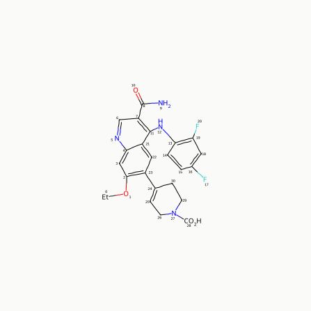 CCOc1cc2ncc(C(N)=O)c(Nc3ccc(F)cc3F)c2cc1C1=CCN(C(=O)O)CC1